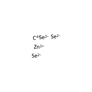 [C+4].[Se-2].[Se-2].[Se-2].[Zn+2]